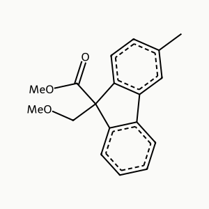 COCC1(C(=O)OC)c2ccccc2-c2cc(C)ccc21